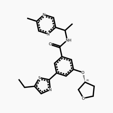 CCc1cnc(-c2cc(O[C@@H]3CCOC3)cc(C(=O)NC(C)c3cnc(C)cn3)c2)s1